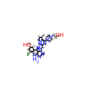 Cc1ccn2nc(Cn3nc(-c4cc(O)cc(F)c4)c4c(N)ncnc43)nc(N3CCN(CCO)CC3)c12